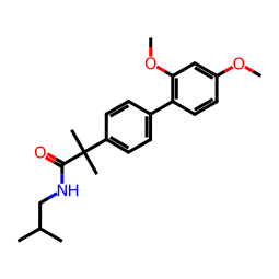 COc1ccc(-c2ccc(C(C)(C)C(=O)NCC(C)C)cc2)c(OC)c1